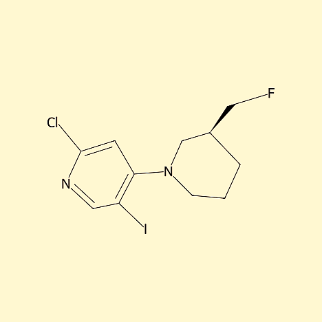 FC[C@H]1CCCN(c2cc(Cl)ncc2I)C1